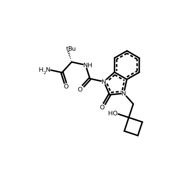 CC(C)(C)[C@H](NC(=O)n1c(=O)n(CC2(O)CCC2)c2ccccc21)C(N)=O